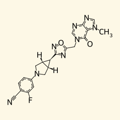 Cn1cnc2ncn(Cc3nc([C@H]4[C@@H]5CN(c6ccc(C#N)c(F)c6)C[C@@H]54)no3)c(=O)c21